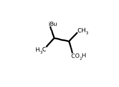 CCC(C)C(C)C(C)C(=O)O